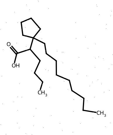 CCCCCCCCCC1(C(CCCC)C(=O)O)CCCC1